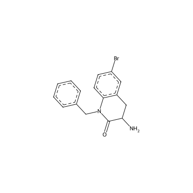 NC1Cc2cc(Br)ccc2N(Cc2ccccc2)C1=O